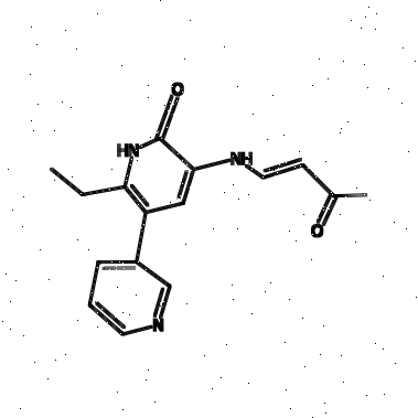 CCc1[nH]c(=O)c(N/C=C/C(C)=O)cc1-c1cccnc1